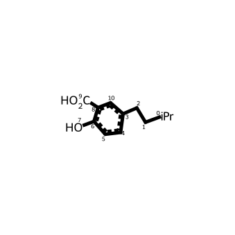 CC(C)CCc1ccc(O)c(C(=O)O)c1